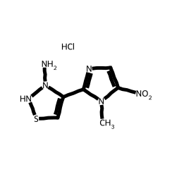 Cl.Cn1c([N+](=O)[O-])cnc1C1=CSNN1N